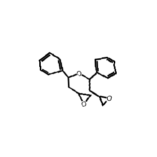 c1ccc(C(CC2CO2)OC(CC2CO2)c2ccccc2)cc1